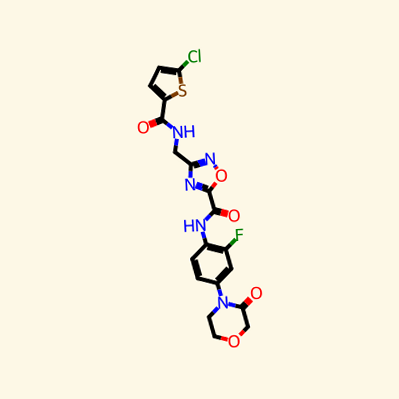 O=C(Nc1ccc(N2CCOCC2=O)cc1F)c1nc(CNC(=O)c2ccc(Cl)s2)no1